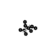 c1ccc(-c2ccc3sc4c(c(-c5ccccc5)cc5c4c4cc(-c6ccccc6)ccc4n5-c4cc(-c5ccccc5)nc(-c5ccccc5)n4)c3c2)cc1